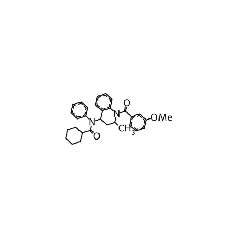 COc1cccc(C(=O)N2c3ccccc3C(N(C(=O)C3CCCCC3)c3ccccc3)CC2C)c1